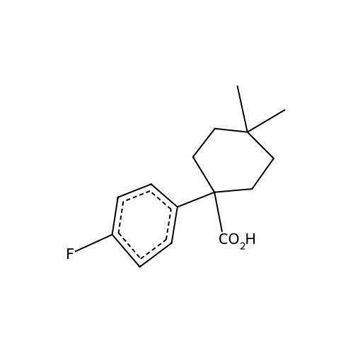 CC1(C)CCC(C(=O)O)(c2ccc(F)cc2)CC1